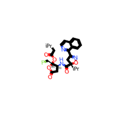 CC(C)CC(=O)O[C@@]1(CF)OC(=O)C[C@@H]1NC(=O)[C@]1(C(C)C)CC(c2nccc3ccccc23)=NO1